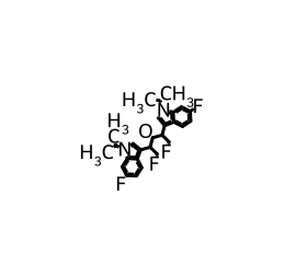 CC(C)n1cc(C(CF)C(=O)C(CF)c2cn(C(C)C)c3cc(F)ccc23)c2ccc(F)cc21